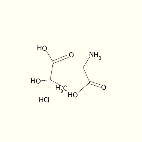 CC(O)C(=O)O.Cl.NCC(=O)O